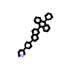 C1=CCC(c2c3ccccc3c(-c3ccc4cc(C5=CCC(c6cccnc6)C=C5)ccc4c3)c3ccccc23)C=C1